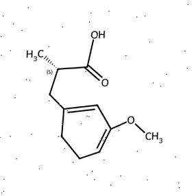 COC1=CC[CH]C(C[C@H](C)C(=O)O)=C1